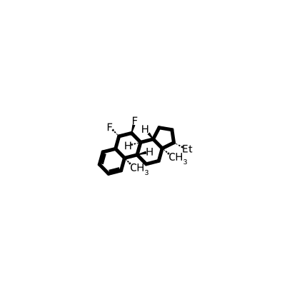 CC[C@H]1CC[C@H]2[C@@H]3[C@H](F)[C@@H](F)C4C=CC=C[C@]4(C)[C@H]3CC[C@]12C